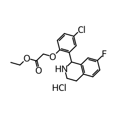 CCOC(=O)COc1ccc(Cl)cc1C1NCCc2ccc(F)cc21.Cl